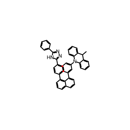 CC1c2ccccc2N(c2cccc(-c3cccc4cccc(-c5ccc(-c6nnc(-c7ccccc7)[nH]6)cc5)c34)c2)c2ccccc21